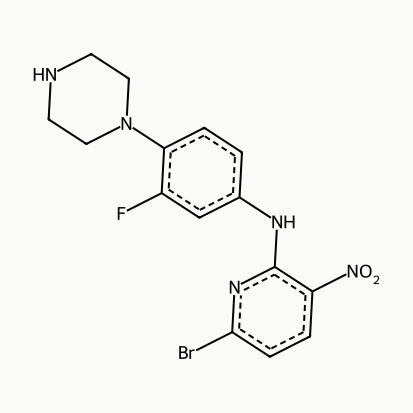 O=[N+]([O-])c1ccc(Br)nc1Nc1ccc(N2CCNCC2)c(F)c1